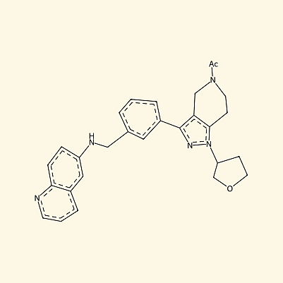 CC(=O)N1CCc2c(c(-c3cccc(CNc4ccc5ncccc5c4)c3)nn2C2CCOC2)C1